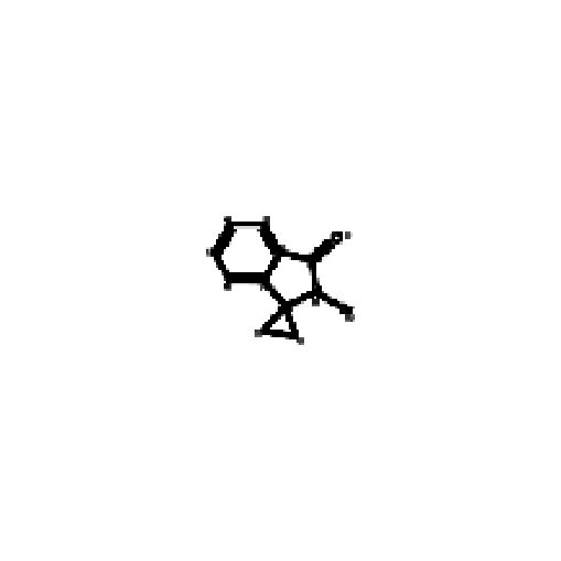 O=C1c2ccccc2C2(CC2)N1Br